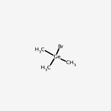 [CH3][Ge]([CH3])([CH3])[Br]